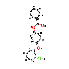 O=C(Oc1ccc(Oc2ccccc2F)cc1)c1ccccc1